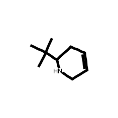 CC(C)(C)C1CC=CCN1